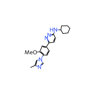 COc1cc(-c2ccc(NC3CCCCC3)nn2)ccc1-n1cnc(C)c1